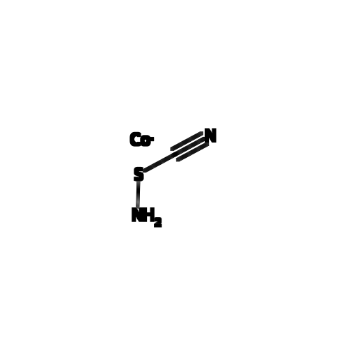 N#CSN.[Co]